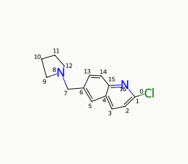 Clc1ccc2cc(CN3CCCC3)ccc2n1